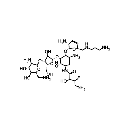 NCCCNC[C@@H]1C=C[C@@H](N)[C@@H](O[C@H]2[C@H](O[C@@H]3O[C@H](CO)[C@@H](O[C@H]4O[C@@H](CN)[C@@H](O)[C@H](O)[C@H]4N)[C@H]3O)[C@@H](O)[C@H](NC(=O)C(O)[C@@H](F)CN)C[C@@H]2N)O1